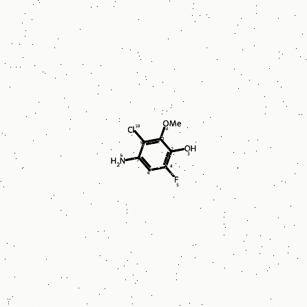 COc1c(O)c(F)cc(N)c1Cl